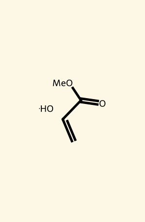 C=CC(=O)OC.[OH]